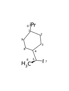 CC(C)C1CCC([C@H](C)I)CC1